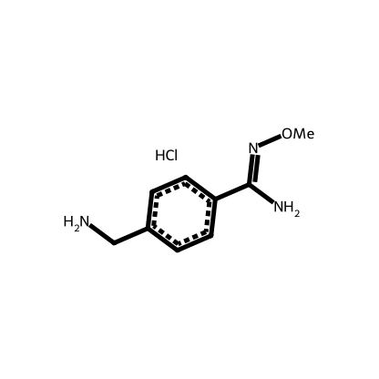 CON=C(N)c1ccc(CN)cc1.Cl